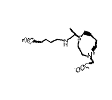 CCCCCCCCCCCCCCNC(C)N1C#CC/C=[N+](/CC(=O)[O-])CC1